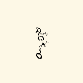 CC1(CN2CCN(C(=O)OCc3ccccc3)CC2)CCOC1=O.[Li]